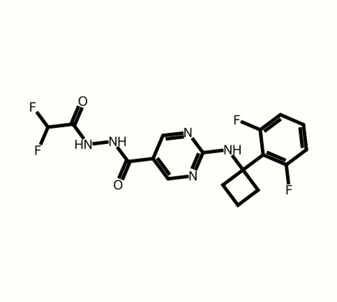 O=C(NNC(=O)C(F)F)c1cnc(NC2(c3c(F)cccc3F)CCC2)nc1